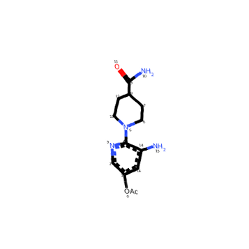 CC(=O)Oc1cnc(N2CCC(C(N)=O)CC2)c(N)c1